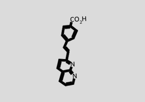 O=C(O)c1ccc(/C=C/c2ccc3cccnc3n2)cc1